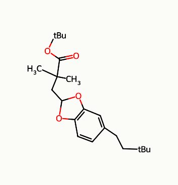 CC(C)(C)CCc1ccc2c(c1)OC(CC(C)(C)C(=O)OC(C)(C)C)O2